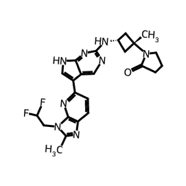 Cc1nc2ccc(-c3c[nH]c4nc(N[C@H]5C[C@@](C)(N6CCCC6=O)C5)ncc34)nc2n1CC(F)F